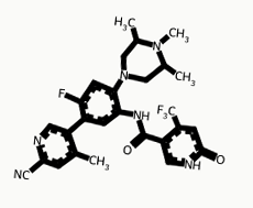 Cc1cc(C#N)ncc1-c1cc(NC(=O)c2c[nH]c(=O)cc2C(F)(F)F)c(N2CC(C)N(C)C(C)C2)cc1F